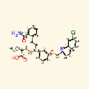 CC(CSC(CCc1ccccc1C(N)=O)c1cccc(OCc2ccc3ccc(Cl)cc3n2)c1)C(=O)O